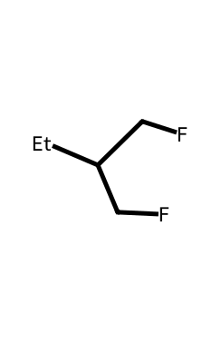 CCC(CF)CF